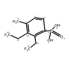 Cc1ccc(P(=O)(O)O)c(CC(F)(F)F)c1CC(F)(F)F